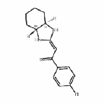 O=C(C=C1N[C@@H]2CCCC[C@H]2N1)c1ccc(Cl)cc1